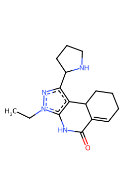 CCn1nc(C2CCCN2)c2c1NC(=O)C1=CCCCC12